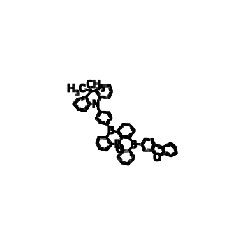 CC1(C)c2ccccc2N(c2ccc(B3c4ccccc4P4(=O)c5ccccc5B(c5ccc6c(c5)oc5ccccc56)c5cccc3c54)cc2)c2ccccc21